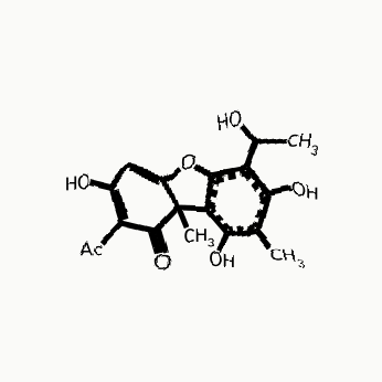 CC(=O)C1=C(O)C=C2Oc3c(C(C)O)c(O)c(C)c(O)c3C2(C)C1=O